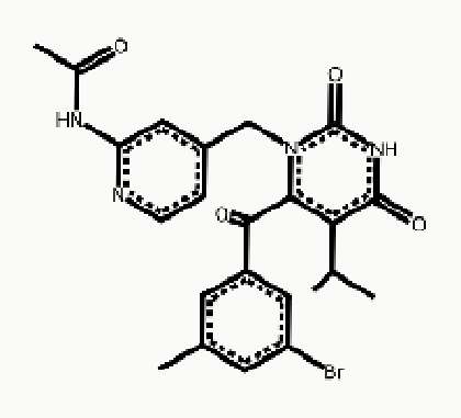 CC(=O)Nc1cc(Cn2c(C(=O)c3cc(C)cc(Br)c3)c(C(C)C)c(=O)[nH]c2=O)ccn1